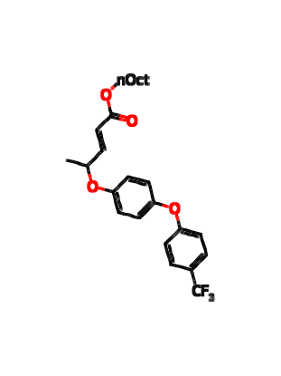 CCCCCCCCOC(=O)/C=C/C(C)Oc1ccc(Oc2ccc(C(F)(F)F)cc2)cc1